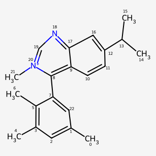 Cc1cc(C)c(C)c(-c2c3ccc(C(C)C)cc3nc[n+]2C)c1